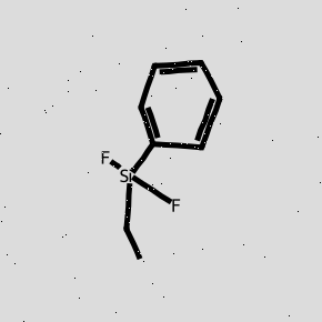 CC[Si](F)(F)c1ccccc1